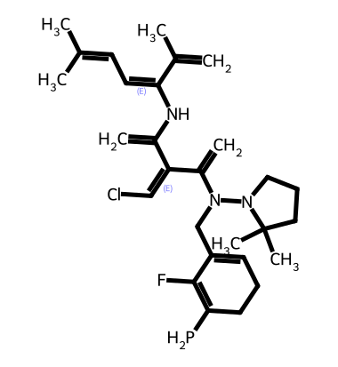 C=C(C)/C(=C\C=C(C)C)NC(=C)/C(=C\Cl)C(=C)N(CC1=CCCC(P)=C1F)N1CCCC1(C)C